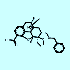 CC[C@@]1(OC)[C@@H](COCc2ccccc2)C[C@]2(O)[C@H]3Cc4ccc(C(=O)O)c5c4[C@@]2(CCN3C)[C@H]1O5